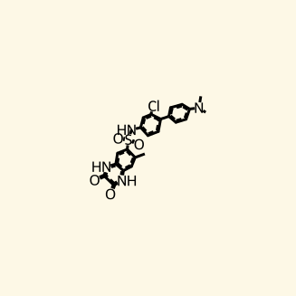 Cc1cc2[nH]c(=O)c(=O)[nH]c2cc1S(=O)(=O)Nc1ccc(-c2ccc(N(C)C)cc2)c(Cl)c1